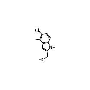 Cc1c(Cl)ccc2[nH]c(CO)cc12